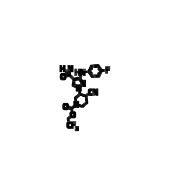 N#CC1CCN(C(=O)OCC(F)(F)F)CC1n1cc(C(N)=O)c(Nc2ccc(F)cc2)n1